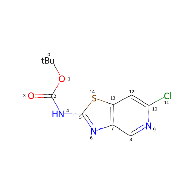 CC(C)(C)OC(=O)Nc1nc2cnc(Cl)cc2s1